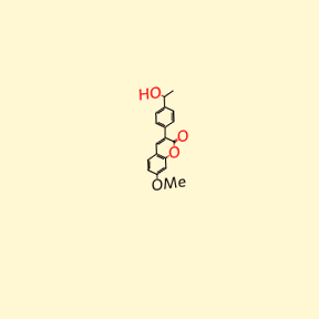 COc1ccc2cc(-c3ccc(C(C)O)cc3)c(=O)oc2c1